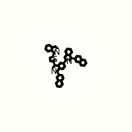 c1ccc2cc(-c3nc(-c4ccc5c(-c6ccc7ccccc7c6)ncc(-c6ccc(-c7nccc8ccccc78)s6)c5c4)cc4ccccc34)ccc2c1